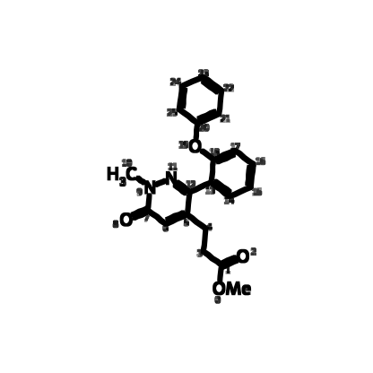 COC(=O)CCc1cc(=O)n(C)nc1-c1ccccc1Oc1ccccc1